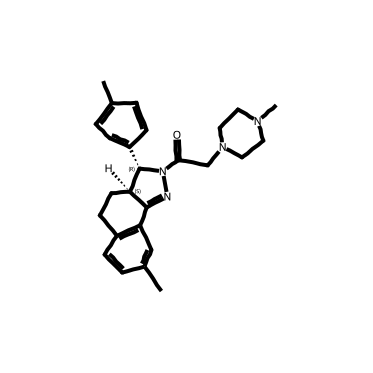 Cc1ccc([C@H]2[C@@H]3CCc4ccc(C)cc4C3=NN2C(=O)CN2CCN(C)CC2)cc1